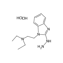 CCN(CC)CCn1c(NN)nc2ccccc21.Cl.Cl